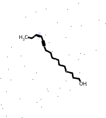 CC/C=C\C#CCCCCCCCCCCO